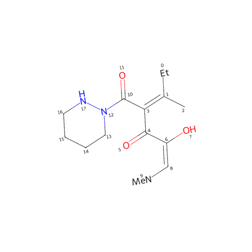 CC/C(C)=C(/C(=O)/C(O)=C\NC)C(=O)N1CCCCN1